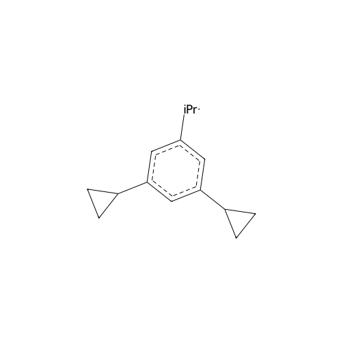 C[C](C)c1cc(C2CC2)cc(C2CC2)c1